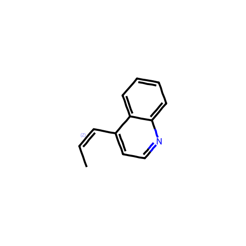 C/C=C\c1ccnc2ccccc12